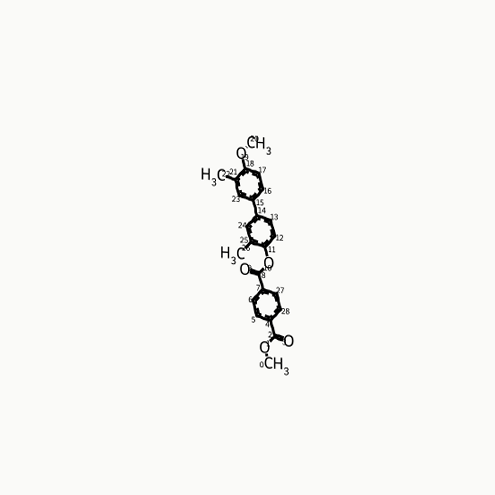 COC(=O)c1ccc(C(=O)Oc2ccc(-c3ccc(OC)c(C)c3)cc2C)cc1